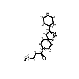 CC(C)CCC(=O)N1CCC2(CC1)CC(C1CCCCC1)=NO2